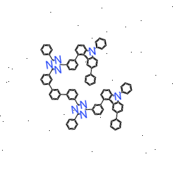 c1ccc(-c2ccc3c(c2)c2c(-c4cccc(-c5nc(-c6ccccc6)nc(-c6cccc(-c7cccc(-c8cccc(-c9nc(-c%10ccccc%10)nc(-c%10cccc(-c%11cccc%12c%11c%11cc(-c%13ccccc%13)ccc%11n%12-c%11ccccc%11)c%10)n9)c8)c7)c6)n5)c4)cccc2n3-c2ccccc2)cc1